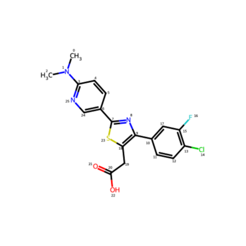 CN(C)c1ccc(-c2nc(-c3ccc(Cl)c(F)c3)c(CC(=O)O)s2)cn1